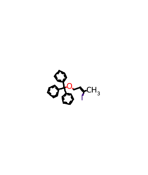 C/C(I)=C/COC(c1ccccc1)(c1ccccc1)c1ccccc1